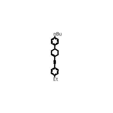 CCCCc1ccc(C2CC=C(C#Cc3ccc(CC)cc3)CC2)cc1